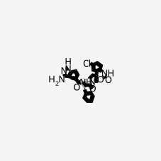 Nc1n[nH]c2ccc(C(=O)N[C@@H](Cc3ccccc3)C(=O)N3CCC4(C3)OC(=O)Nc3ccc(Cl)cc34)cc12